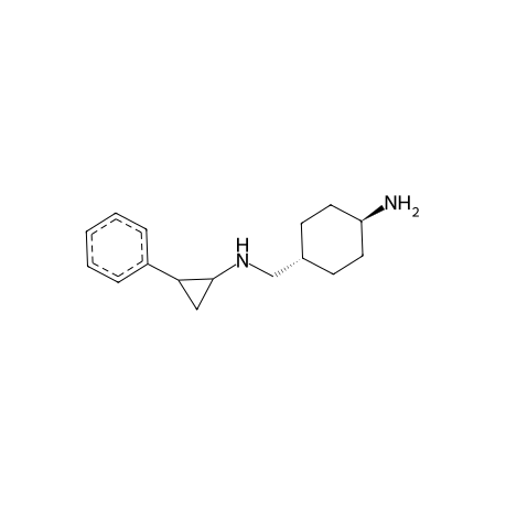 N[C@H]1CC[C@H](CNC2CC2c2ccccc2)CC1